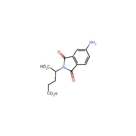 Nc1ccc2c(c1)C(=O)N(C(CCC(=O)O)C(=O)O)C2=O